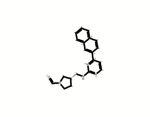 O=CN1CC[C@@H](CNc2nccc(-c3ccc4ccccc4c3)n2)C1